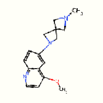 COc1ccnc2ccc(N3CC4(CN(C)C4)C3)cc12